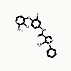 Nc1nccc(Oc2ccc(NC(=O)c3cnn(-c4ccccc4)c3N)cc2F)c1Cl